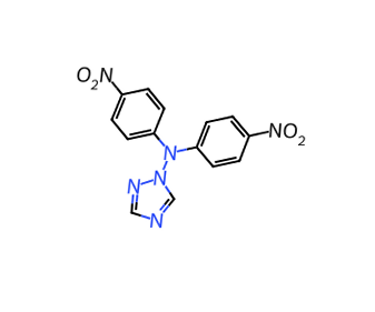 O=[N+]([O-])c1ccc(N(c2ccc([N+](=O)[O-])cc2)n2cncn2)cc1